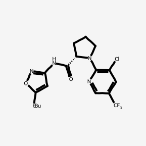 CC(C)(C)c1cc(NC(=O)[C@@H]2CCCN2c2ncc(C(F)(F)F)cc2Cl)no1